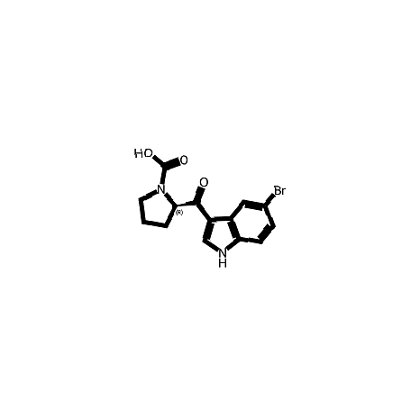 O=C(c1c[nH]c2ccc(Br)cc12)[C@H]1CCCN1C(=O)O